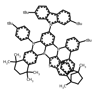 CC(C)(C)c1ccc(N2c3cc4c(cc3B3c5sc6cc7c(cc6c5N(c5ccc(C(C)(C)C)cc5-c5ccccc5)c5cc(-n6c8cc(C(C)(C)C)ccc8c8ccc(C(C)(C)C)cc86)cc2c53)C2(C)CCC7(C)C2)C(C)(C)CCC4(C)C)cc1